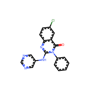 O=c1c2cc(Cl)ccc2nc(Nc2cncnc2)n1-c1ccccc1